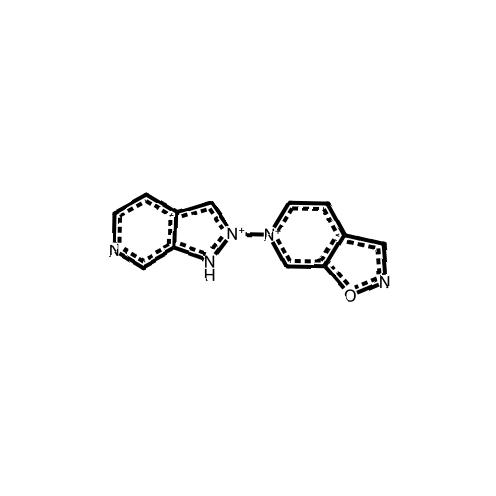 c1cc2c[n+](-[n+]3ccc4cnoc4c3)[nH]c2cn1